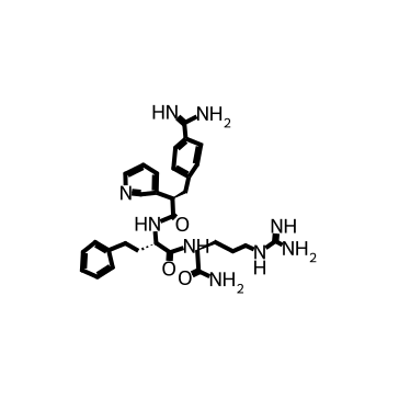 N=C(N)NCCC[C@H](NC(=O)[C@H](CCc1ccccc1)NC(=O)[C@H](Cc1ccc(C(=N)N)cc1)c1cccnc1)C(N)=O